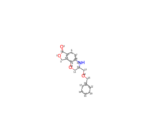 O=C1OCc2c1ccc1c2OCC(COCc2ccccc2)N1